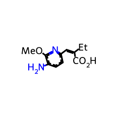 CCC(=Cc1ccc(N)c(OC)n1)C(=O)O